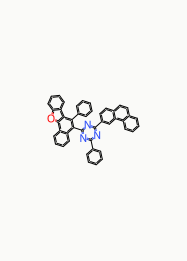 c1ccc(-c2nc(-c3ccc4ccc5ccccc5c4c3)nc(-c3c(-c4ccccc4)c4c5ccccc5oc4c4ccccc34)n2)cc1